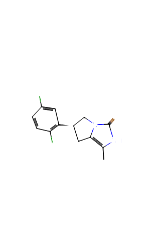 Cc1[nH]c(=S)n2c1C[C@@H](c1cc(Br)ccc1F)C2